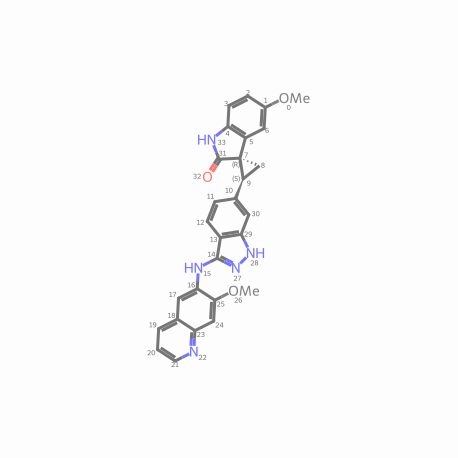 COc1ccc2c(c1)[C@]1(C[C@H]1c1ccc3c(Nc4cc5cccnc5cc4OC)n[nH]c3c1)C(=O)N2